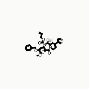 C=CCOC(=O)N1c2cc(OCc3ccccc3)c(OC)cc2C(=O)N2CC=C(c3ccsc3)C[C@H]2[C@@H]1O